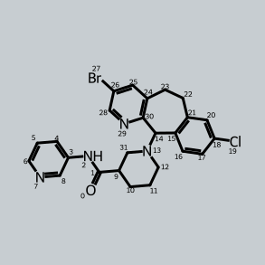 O=C(Nc1cccnc1)C1CCCN(C2c3ccc(Cl)cc3CCc3cc(Br)cnc32)C1